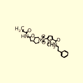 C=CC(=O)NC1CC2CCN(S(=O)(=O)c3ccc(C(=O)NCCc4ccccc4)n3C)CC2O1